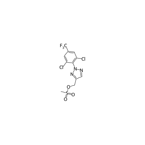 CS(=O)(=O)OCc1cnn(-c2c(Cl)cc(C(F)(F)F)cc2Cl)n1